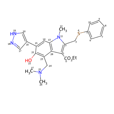 CCOC(=O)c1c(CSc2ccccc2)n(C)c2cc(-c3cn[nH]c3)c(O)c(CN(C)C)c12